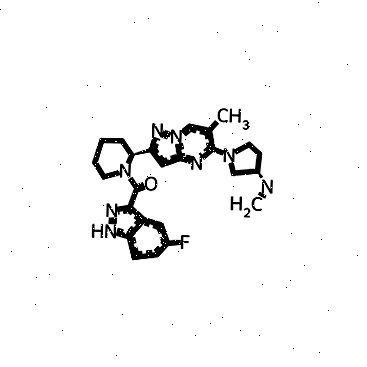 C=N[C@H]1CCN(c2nc3cc([C@@H]4CCCCN4C(=O)c4n[nH]c5ccc(F)cc45)nn3cc2C)C1